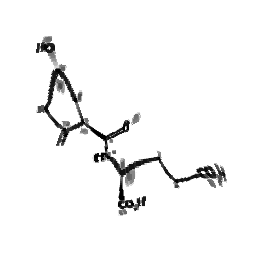 O=C(O)CC[C@H](NC(=O)[C@@H]1C[C@@H](O)CN1)C(=O)O